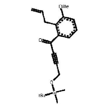 C=CCc1c(OC)cccc1C(=O)C#CCO[Si](C)(C)C(C)(C)C